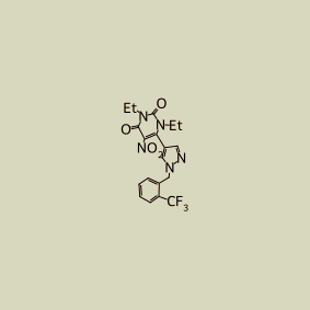 CCn1c(-c2cnn(Cc3ccccc3C(F)(F)F)c2)c([N+](=O)[O-])c(=O)n(CC)c1=O